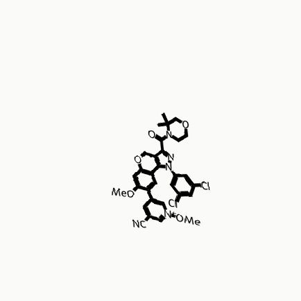 COc1cc2c(cc1-c1cc(C#N)c[n+](OC)c1)-c1c(c(C(=O)N3CCOCC3(C)C)nn1-c1cc(Cl)cc(Cl)c1)CO2